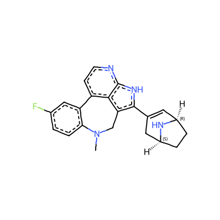 CN1Cc2c(C3=C[C@H]4CC[C@@H](C3)N4)[nH]c3nccc(c23)-c2cc(F)ccc21